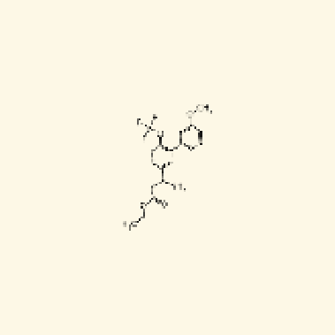 CCOC(=O)C[C@H](N)c1ccc(OC(F)(F)F)c(-c2cccc(OC)c2)c1